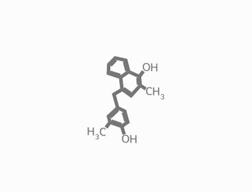 Cc1cc(Cc2cc(C)c(O)c3ccccc23)ccc1O